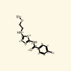 CCSCCNc1nnc(NC(=O)c2ccc(I)cc2)s1